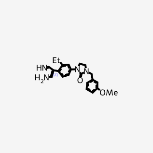 CCc1cc(N2CCN(Cc3cccc(OC)c3)C2=O)ccc1/C(C=N)=C/N